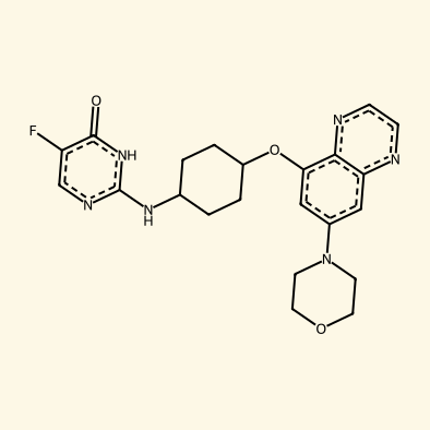 O=c1[nH]c(NC2CCC(Oc3cc(N4CCOCC4)cc4nccnc34)CC2)ncc1F